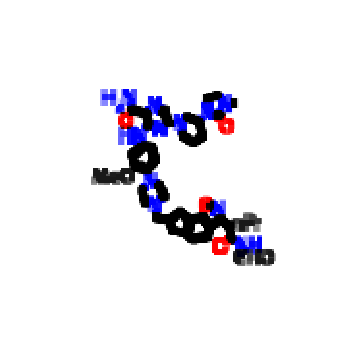 CCCC(C(=O)NC=O)c1noc2c3c(ccc12)CC(CN1CCN(c2ccc(Nc4nc(N5CCCC(N6CCN(C)C6=O)C5)cnc4C(N)=O)cc2OC)CC1)C3